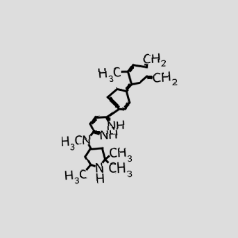 C=C/C=C(C)\C(CC=C)=C1\C=CC(C(=N)/C=C\C(=N)N(C)C2CC(C)NC(C)(C)C2)=CC1